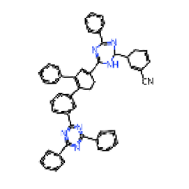 N#CC1=CC(C2N=C(c3ccccc3)N=C(C3=CC(c4ccccc4)=C(c4cccc(-c5nc(-c6ccccc6)nc(-c6ccccc6)n5)c4)CC3)N2)CC=C1